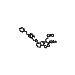 CNC(=O)C(CCC=O)N1Cc2c(OCc3cn(CCc4ccccc4)nn3)cccc2C1=O